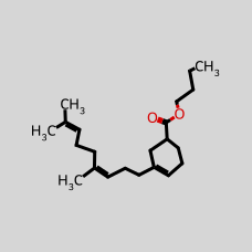 CCCCOC(=O)C1CCC=C(CCC=C(C)CCC=C(C)C)C1